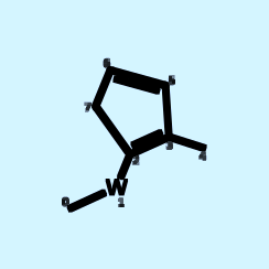 [CH3][W][C]1=C(C)C=CC1